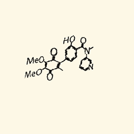 COC1=C(OC)C(=O)C(c2ccc(C(=O)N(C)c3cccnc3)c(O)c2)=C(C)C1=O